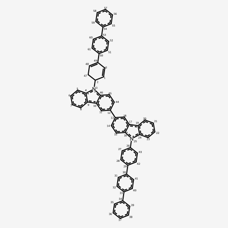 C1=CC(n2c3ccccc3c3cc(-c4ccc5c(c4)c4ccccc4n5-c4ccc(-c5ccc(-c6ccccc6)cc5)cc4)ccc32)CC=C1c1ccc(-c2ccccc2)cc1